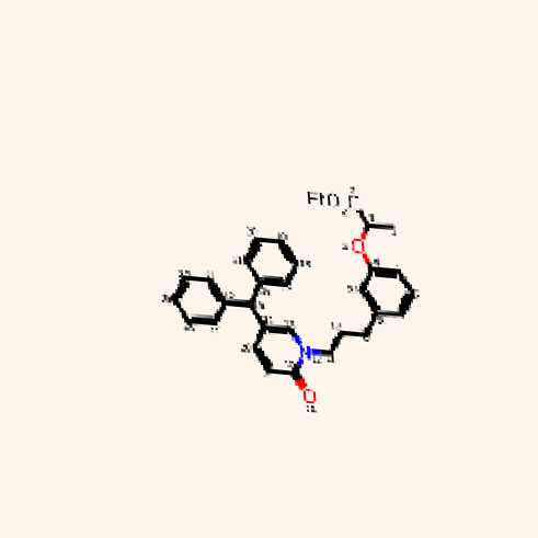 CCOC(=O)C(C)Oc1cccc(CCCn2cc(C(c3ccccc3)c3ccccc3)ccc2=O)c1